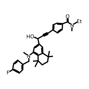 CCN(C)C(=O)c1ccc(C#CC(O)c2cc(N(C)Cc3ccc(F)cc3)c3c(c2)C(C)(C)CCC3(C)C)cc1